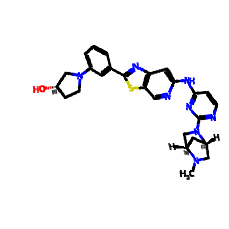 CN1C[C@@H]2C[C@H]1CN2c1nccc(Nc2cc3nc(-c4cccc(N5CC[C@H](O)C5)c4)sc3cn2)n1